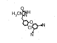 Cn1c(Cc2ccc(Cl)c(Oc3cc(C#N)cc(C#N)c3)c2)n[nH]c1=O